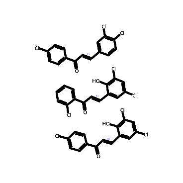 O=C(/C=C/c1cc(Cl)cc(Cl)c1O)c1ccc(Cl)cc1.O=C(/C=C/c1cc(Cl)cc(Cl)c1O)c1ccccc1Cl.O=C(/C=C/c1ccc(Cl)c(Cl)c1)c1ccc(Cl)cc1